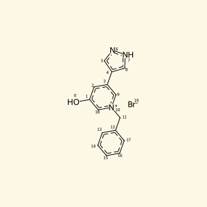 Oc1cc(-c2cn[nH]c2)c[n+](Cc2ccccc2)c1.[Br-]